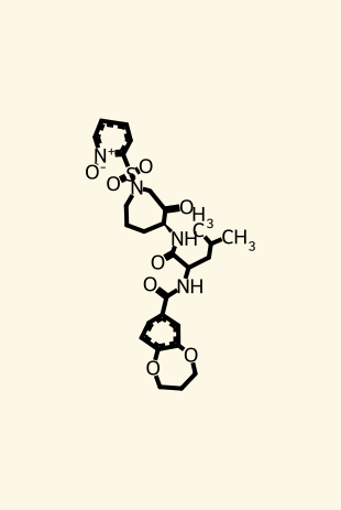 CC(C)CC(NC(=O)c1ccc2c(c1)OCCCO2)C(=O)N[C@H]1CCCN(S(=O)(=O)c2cccc[n+]2[O-])CC1=O